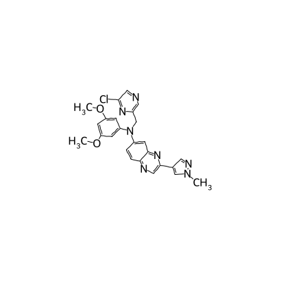 COc1cc(OC)cc(N(Cc2cncc(Cl)n2)c2ccc3ncc(-c4cnn(C)c4)nc3c2)c1